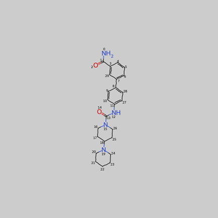 NC(=O)c1cccc(-c2ccc(NC(=O)N3CCC(N4CCCCC4)CC3)cc2)c1